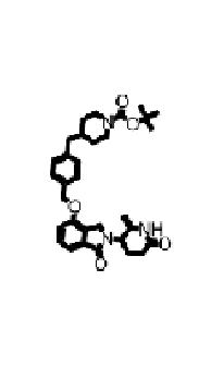 C=C1NC(=O)CCC1N1Cc2c(OCc3ccc(CC4CCN(C(=O)OC(C)(C)C)CC4)cc3)cccc2C1=O